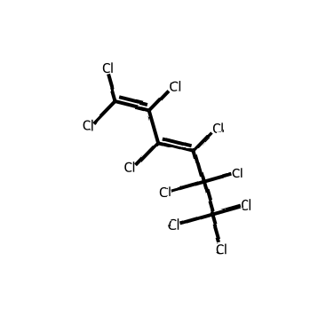 ClC(Cl)=C(Cl)C(Cl)=C(Cl)C(Cl)(Cl)C(Cl)(Cl)Cl